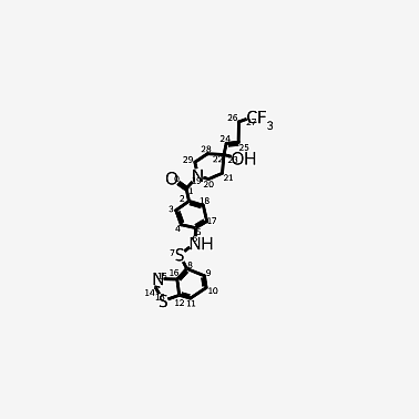 O=C(c1ccc(NSc2cccc3scnc23)cc1)N1CCC(O)(/C=C/CC(F)(F)F)CC1